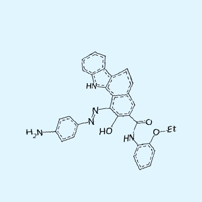 CCOc1ccccc1NC(=O)c1cc2ccc3c4ccccc4[nH]c3c2c(N=Nc2ccc(N)cc2)c1O